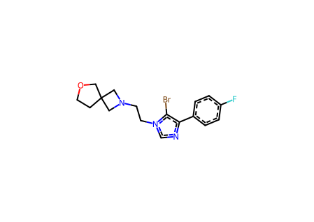 Fc1ccc(-c2ncn(CCN3CC4(CCOC4)C3)c2Br)cc1